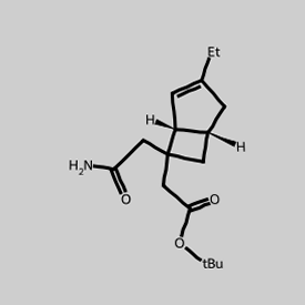 CCC1=C[C@@H]2[C@H](C1)CC2(CC(N)=O)CC(=O)OC(C)(C)C